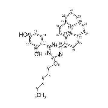 CCCCCCOc1nc(-c2ccc(O)cc2O)nc(-c2ccc3ccc4cccc5ccc2c3c45)n1